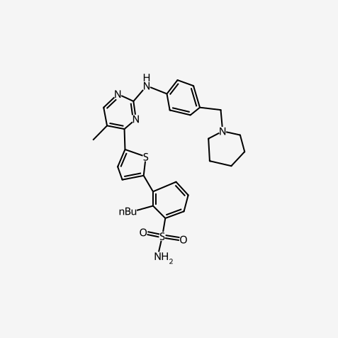 CCCCc1c(-c2ccc(-c3nc(Nc4ccc(CN5CCCCC5)cc4)ncc3C)s2)cccc1S(N)(=O)=O